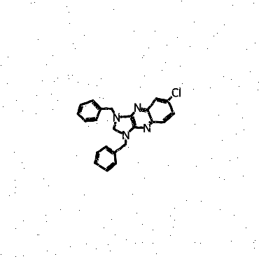 Clc1ccc2nc3c(nc2c1)N(Cc1ccccc1)CN3Cc1ccccc1